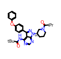 CC(C)C(=O)N1CCC[C@@H](n2nc(-c3ccc(Oc4ccccc4)cc3)c3c(NC(=O)C(C)(C)C)ncnc32)C1